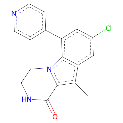 Cc1c2n(c3c(-c4ccncc4)cc(Cl)cc13)CCNC2=O